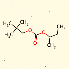 CC[C@@H](C)OC(=O)OCC(C)(C)C